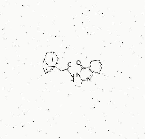 CCc1nc2ccccc2c(=O)n1NC(=O)CC12CC3CC(CC(C3)C1)C2